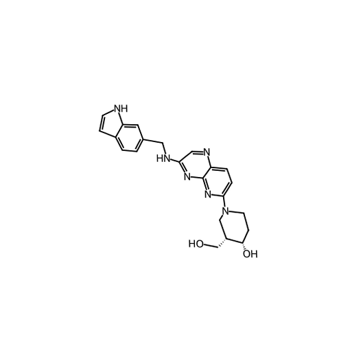 OC[C@@H]1CN(c2ccc3ncc(NCc4ccc5cc[nH]c5c4)nc3n2)CC[C@@H]1O